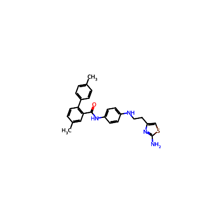 Cc1ccc(-c2ccc(C)cc2C(=O)Nc2ccc(NCCc3csc(N)n3)cc2)cc1